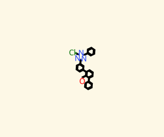 Clc1nc(-c2ccccc2)nc(-c2cccc(-c3cccc4c3COc3ccccc3-4)c2)n1